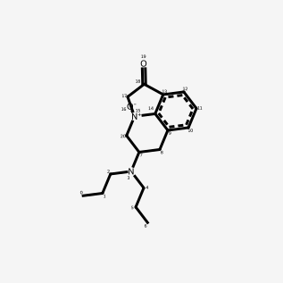 CCCN(CCC)C1Cc2cccc3c2[N+]([O-])(CC3=O)C1